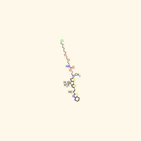 CN(CCOC(=O)NCCOCCOCCCCCCCl)c1cc2c(s1)-c1sc(/C=C(\C#N)c3nc4ccccc4s3)cc1[Si]2(C)C